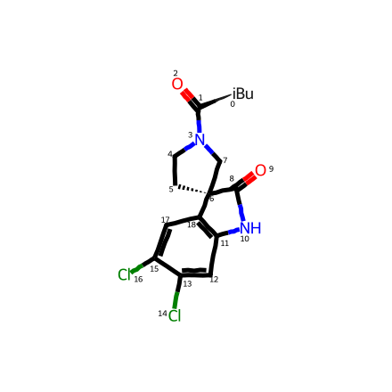 CC[C@H](C)C(=O)N1CC[C@]2(C1)C(=O)Nc1cc(Cl)c(Cl)cc12